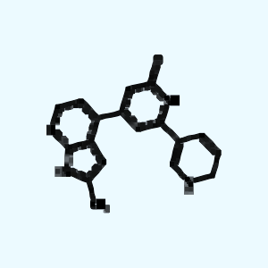 Cc1cc2c(-c3cc(C4=CNCC=C4)[nH]c(=O)c3)ccnc2[nH]1